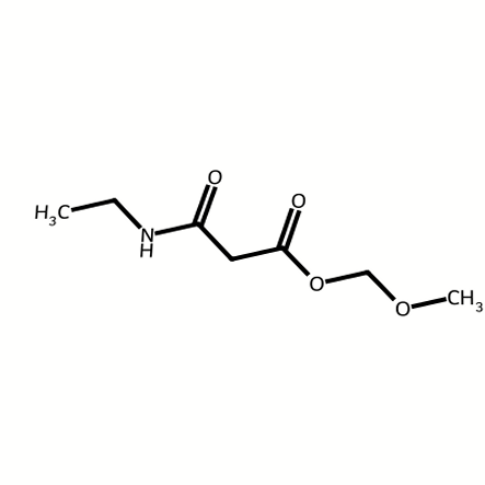 CCNC(=O)CC(=O)OCOC